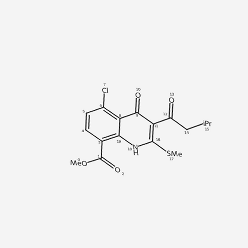 COC(=O)c1ccc(Cl)c2c(=O)c(C(=O)CC(C)C)c(SC)[nH]c12